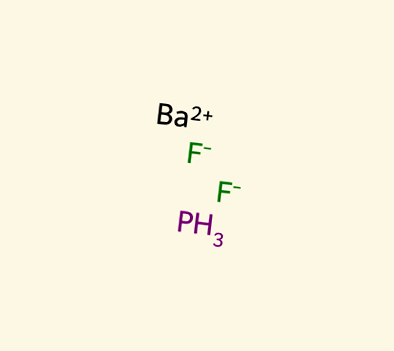 P.[Ba+2].[F-].[F-]